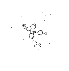 COC(=O)CC(C)c1ccc(N(CC(C)(C)O)C2CCOCC2)c(Nc2ccc(Cl)cc2)c1